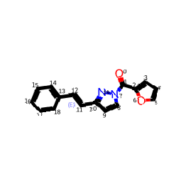 O=C(c1ccco1)n1ccc(/C=C/c2ccccc2)n1